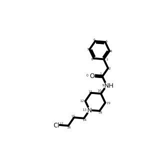 O=C(Cc1ccccc1)NC1CCN(CCCCl)CC1